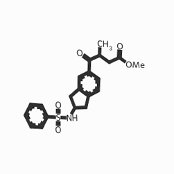 COC(=O)CC(C)C(=O)c1ccc2c(c1)CC(NS(=O)(=O)c1ccccc1)C2